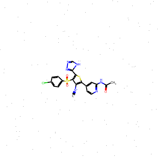 [C-]#[N+]c1c(-c2ccnc(NC(C)=O)c2)sc(-c2nnc[nH]2)c1S(=O)(=O)c1ccc(Cl)cc1